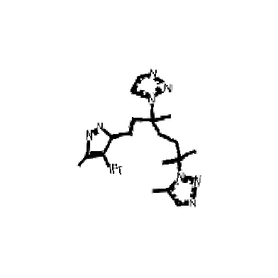 CC1=C(C(C)C)C(CCC(C)(CCC(C)(C)n2nncc2C)n2ccnn2)N=N1